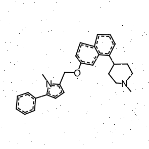 CN1CCC(c2cccc3ccc(OCc4ccc(-c5ccccc5)n4C)cc23)CC1